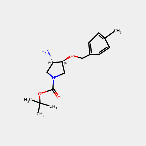 Cc1ccc(CO[C@H]2CN(C(=O)OC(C)(C)C)C[C@@H]2N)cc1